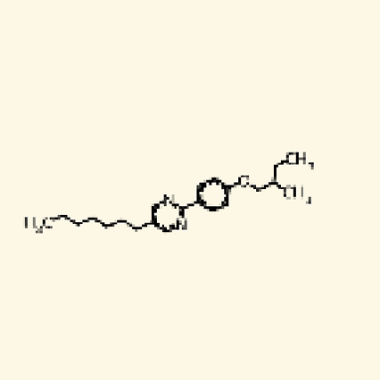 CCCCCCCc1cnc(-c2ccc(OCC(C)CC)cc2)nc1